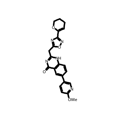 COc1ccc(-c2ccc3[nH]c(Cc4nc(C5=CCCCO5)no4)nc(=O)c3c2)cn1